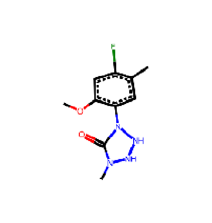 COc1cc(F)c(C)cc1N1NNN(C)C1=O